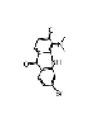 CN(C)c1c(Cl)ccc2c(=O)c3ccc(Br)cc3[nH]c12